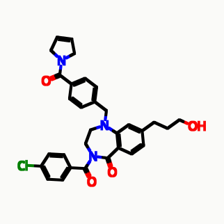 O=C(c1ccc(CN2CCN(C(=O)c3ccc(Cl)cc3)C(=O)c3ccc(CCCO)cc32)cc1)N1CC=CC1